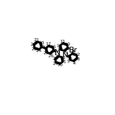 Brc1ccccc1N1c2ccccc2N(c2ccc(-c3ccccc3)cc2)c2ccccc21